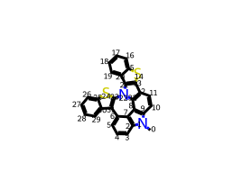 Cn1c2cccc3c2c2c1ccc1c4sc5ccccc5c4n(c4sc5ccccc5c34)c12